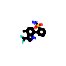 Cc1ccc(-c2ccccc2S(N)(=O)=O)c2[nH]cc(C(F)F)c12